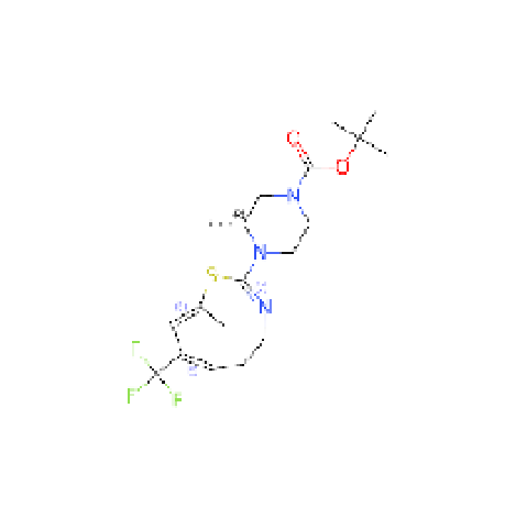 C/C1=C\C(C(F)(F)F)=C/CC/N=C(/N2CCN(C(=O)OC(C)(C)C)C[C@H]2C)S1